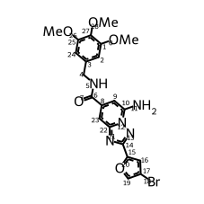 COc1cc(CNC(=O)c2cc(N)n3nc(-c4cc(Br)co4)nc3c2)cc(OC)c1OC